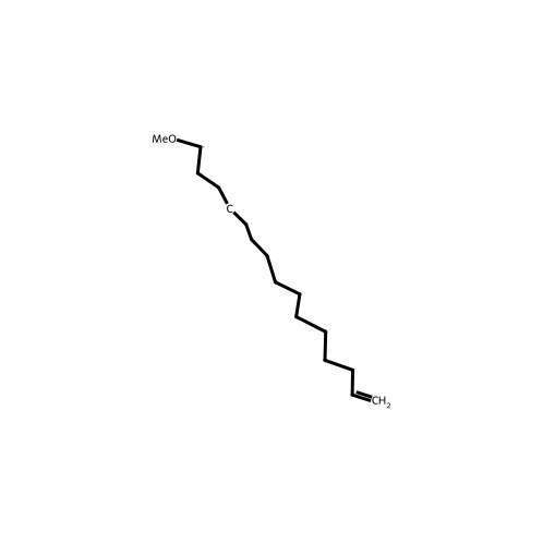 C=CCCCCCCCCCCCC[CH]OC